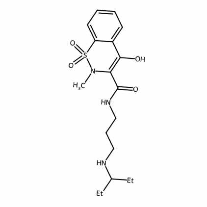 CCC(CC)NCCCNC(=O)C1=C(O)c2ccccc2S(=O)(=O)N1C